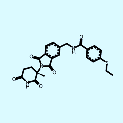 CCSc1ccc(C(=O)NCc2ccc3c(c2)C(=O)N([C@@]2(C)CCC(=O)NC2=O)C3=O)cc1